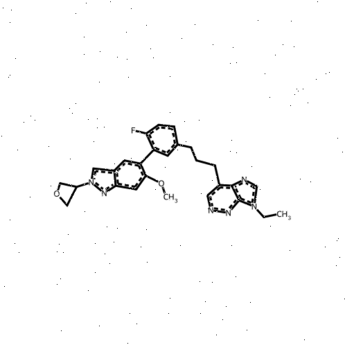 CCn1cnc2c(CCCc3ccc(F)c(-c4cc5cn(C6COC6)nc5cc4OC)c3)cnnc21